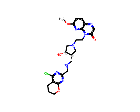 COc1ccc2ncc(=O)n(CCN3C[C@H](CNCc4nc(Cl)c5c(n4)OCCC5)[C@H](O)C3)c2n1